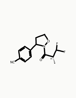 C[C@H](C(=O)N1OCCC1c1ccc(C#N)cc1)C(F)F